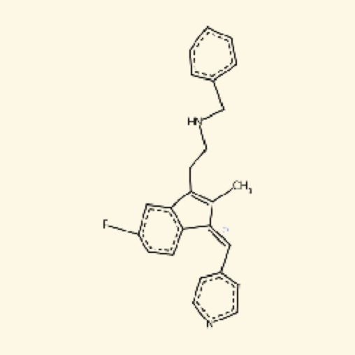 CC1=C(CCNCc2ccccc2)c2cc(F)ccc2/C1=C\c1ccncc1